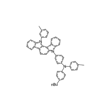 CCCCc1ccc(N(c2ccc(C)cc2)c2ccc(-n3c4ccccc4c4c3ccc3c5ccccc5n(-c5cccc(C)c5)c34)cc2)cc1